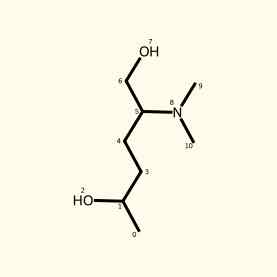 CC(O)CCC(CO)N(C)C